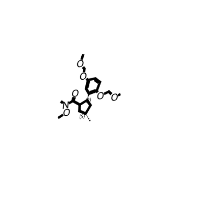 COCOc1ccc(OCOC)c([C@@H]2C[C@H](C)CC2C(=O)N(C)OC)c1